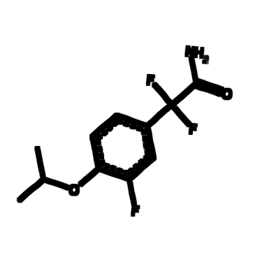 CC(C)Oc1ccc(C(F)(F)C(N)=O)cc1F